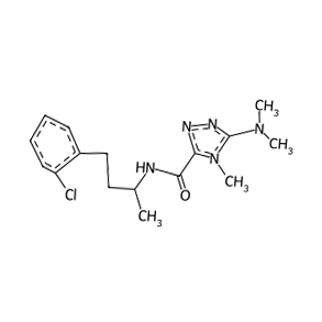 CC(CCc1ccccc1Cl)NC(=O)c1nnc(N(C)C)n1C